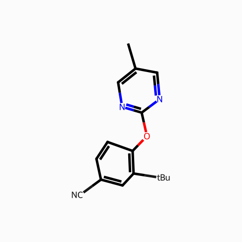 Cc1cnc(Oc2ccc(C#N)cc2C(C)(C)C)nc1